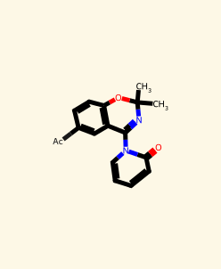 CC(=O)c1ccc2c(c1)C(n1ccccc1=O)=NC(C)(C)O2